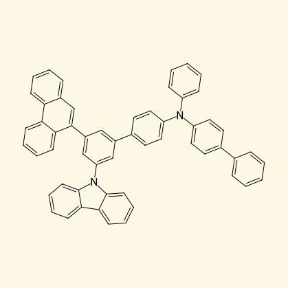 c1ccc(-c2ccc(N(c3ccccc3)c3ccc(-c4cc(-c5cc6ccccc6c6ccccc56)cc(-n5c6ccccc6c6ccccc65)c4)cc3)cc2)cc1